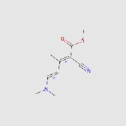 COC(=O)/C(C#N)=C(C)/C=C/N(C)C